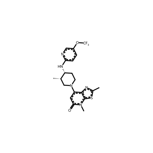 Cc1nc2c(N3CC[C@@H](Nc4ccc(OC(F)(F)F)cn4)[C@@H](C)C3)cc(=O)n(C)c2s1